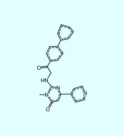 Cn1c(NCC(=O)c2ccc(-c3ccccc3)cc2)nc(-c2ccncc2)cc1=O